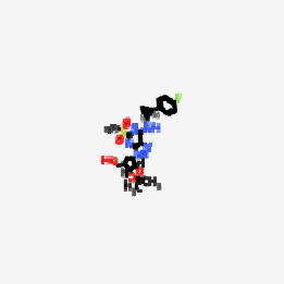 CCCS(=O)(=O)c1nc(N[C@@H]2C[C@H]2c2ccc(F)cc2)c2nnn([C@@H]3C[C@H](CO)[C@H]4OC(C)(C)O[C@H]43)c2n1